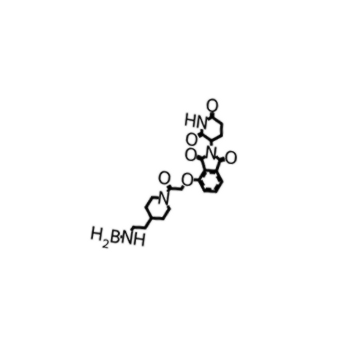 BNCCC1CCN(C(=O)COc2cccc3c2C(=O)N(C2CCC(=O)NC2=O)C3=O)CC1